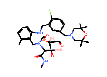 BC(O)(C=O)C(B)(O)C(C(=O)NC)N(C=O)Cc1c(C)cccc1NCc1cc(CN2CC(C)(C)OC(C)(C)C2)ccc1F